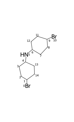 BrC1CCC(NC2CCC(Br)CC2)CC1